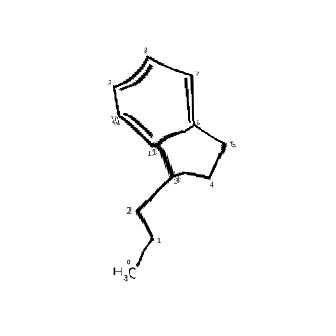 CC[CH]C1CCc2ccccc21